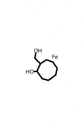 OCC1CCCCCCC1O.[Fe]